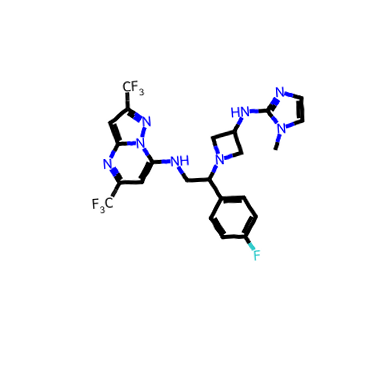 Cn1ccnc1NC1CN(C(CNc2cc(C(F)(F)F)nc3cc(C(F)(F)F)nn23)c2ccc(F)cc2)C1